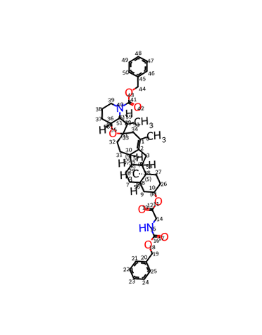 CC1=C2C[C@H]3[C@@H](CC[C@@H]4C[C@H](OC(=O)CNC(=O)OCc5ccccc5)CC[C@@]43C)[C@@H]2CC[C@@]2(C1)O[C@@H]1CCCN(C(=O)OCc3ccccc3)[C@H]1[C@H]2C